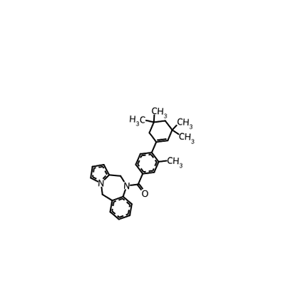 Cc1cc(C(=O)N2Cc3cccn3Cc3ccccc32)ccc1C1=CC(C)(C)CC(C)(C)C1